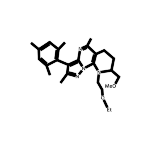 CCOCCN1c2c(c(C)nc3c(-c4c(C)cc(C)cc4C)c(C)nn23)CCC1COC